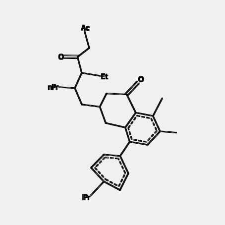 CCCC(CC1CC(=O)c2c(C)c(C)cc(-c3ccc(C(C)C)cc3)c2C1)C(CC)C(=O)CC(C)=O